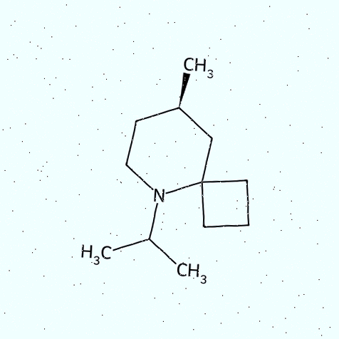 CC(C)N1CC[C@@H](C)CC12CCC2